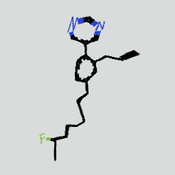 C=CCc1cc(CCCCCC(C)F)ccc1-c1cncnc1